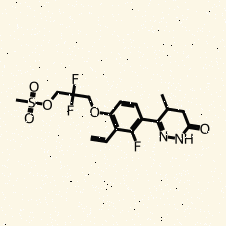 C=Cc1c(OCC(F)(F)COS(C)(=O)=O)ccc(C2=NNC(=O)CC2C)c1F